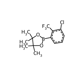 CC1(C)OB(c2cccc(Cl)c2C(F)(F)F)OC1(C)C